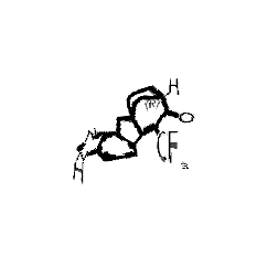 O=C1C(C(F)(F)F)=C2c3ccc4[nH]cnc4c3CC23CC[C@@H]1C3